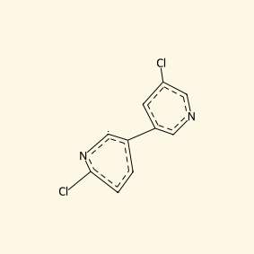 Clc1cncc(-c2[c]nc(Cl)cc2)c1